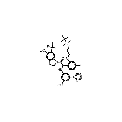 COc1cc(NC(C(=O)N2CCc3cc(OC)c(C(F)(F)F)cc32)c2ccc(F)cc2OCCO[Si](C)(C)C(C)(C)C)cc(-n2cncn2)c1